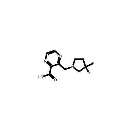 O=C(O)c1nccnc1CN1CCC(F)(F)C1